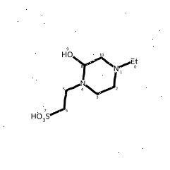 CCN1CCN(CCS(=O)(=O)O)C(O)C1